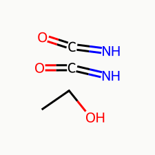 CCO.N=C=O.N=C=O